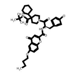 CCCCOc1ccc2oc(C(=O)N[C@H](Cc3ccc(Cl)cc3)C(=O)N3CCC(C(=O)NC(C)(C)C)(C4CCCCC4)CC3)cc(=O)c2c1